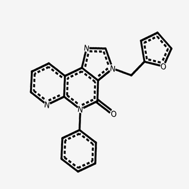 O=c1c2c(ncn2Cc2ccco2)c2cccnc2n1-c1ccccc1